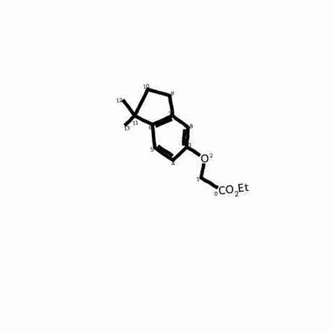 CCOC(=O)COc1ccc2c(c1)CCC2(C)C